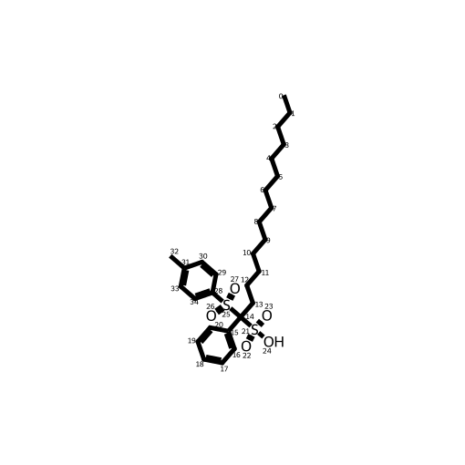 CCCCCCCCCCCCCCC(c1ccccc1)(S(=O)(=O)O)S(=O)(=O)c1ccc(C)cc1